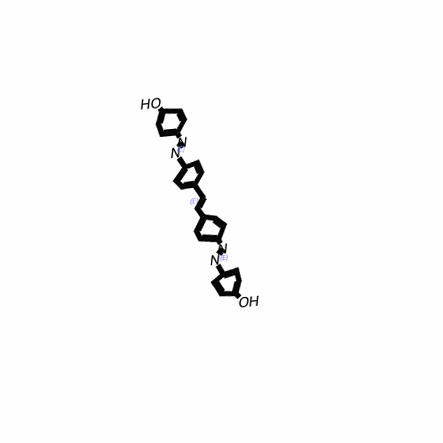 Oc1ccc(/N=N/c2ccc(/C=C/c3ccc(/N=N/c4ccc(O)cc4)cc3)cc2)cc1